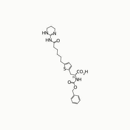 O=C(CCCCCc1ccc(C[C@H](NC(=O)OCc2ccccc2)C(=O)O)s1)NC1=NCCCN1